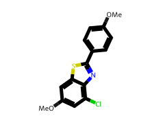 COc1ccc(-c2nc3c(Cl)cc(OC)cc3s2)cc1